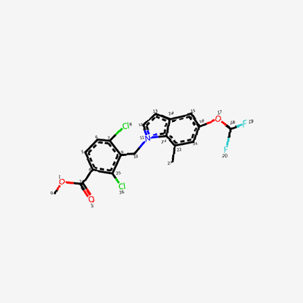 COC(=O)c1ccc(Cl)c(Cn2ccc3cc(OC(F)F)cc(C)c32)c1Cl